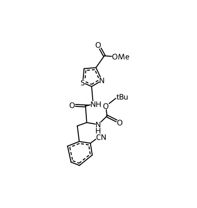 COC(=O)c1csc(NC(=O)C(Cc2ccccc2C#N)NC(=O)OC(C)(C)C)n1